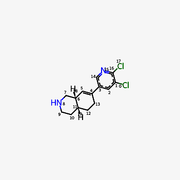 Clc1cc(C2=C[C@H]3CNCC[C@H]3CC2)cnc1Cl